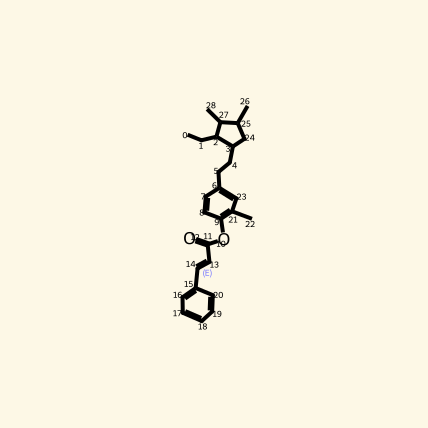 CCC1C(CCc2ccc(OC(=O)/C=C/c3ccccc3)c(C)c2)CC(C)C1C